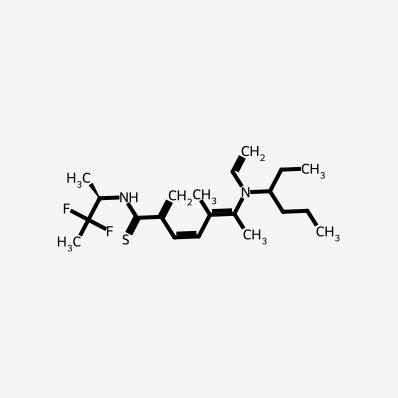 C=CN(/C(C)=C(C)/C=C\C(=C)C(=S)N[C@H](C)C(C)(F)F)C(CC)CCC